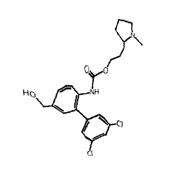 CN1CCCC1CCOC(=O)Nc1ccc(CO)cc1-c1cc(Cl)cc(Cl)c1